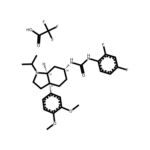 COc1ccc([C@@]23CC[C@@H](NC(=O)Nc4ccc(F)cc4F)C[C@@H]2N(C(C)C)CC3)cc1OC.O=C(O)C(F)(F)F